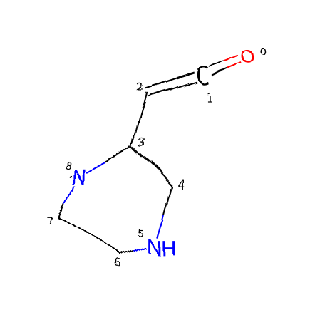 O=C=CC1CNCC[N]1